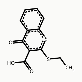 CCSc1sc2ccccc2c(=O)c1C(=O)O